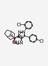 CC(C)C1(O)CC2CCC(C1)N2c1ncnc2c(-c3ccc(Cl)cc3)n(-c3ccccc3Cl)nc12